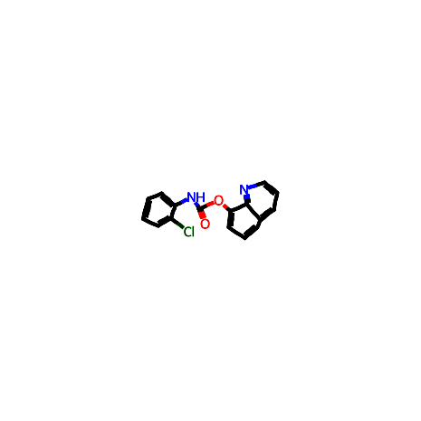 O=C(Nc1ccccc1Cl)Oc1cccc2cccnc12